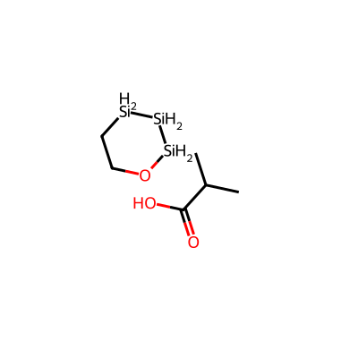 C1C[SiH2][SiH2][SiH2]O1.CC(C)C(=O)O